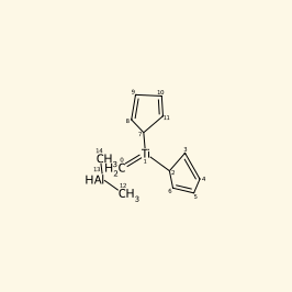 [CH2]=[Ti]([CH]1C=CC=C1)[CH]1C=CC=C1.[CH3][AlH][CH3]